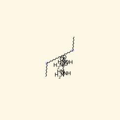 CCCCCCCC/C=C\CCCCCCCCC(CCCCCCC/C=C\CCCCCCCC)OC(=O)[C@H](CO)NC(=O)[C@@H](N)CCCNC(=N)N